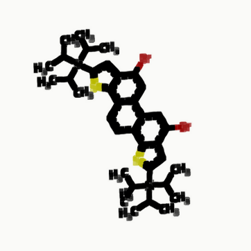 CC(C)[Si](c1cc2c(Br)cc3c4cc(Br)c5cc([Si](C(C)C)(C(C)C)C(C)C)sc5c4ccc3c2s1)(C(C)C)C(C)C